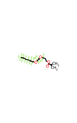 C=C(C)C(=O)OCCC(F)(F)OC(F)(F)C(F)(F)OC(F)(F)C(F)(F)C(F)(F)C(F)(F)C(F)(F)C(F)(F)F